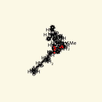 CSCC[C@H](NC(=O)[C@H](C)NC(=O)[C@H](Cc1c[nH]c2ccccc12)NC(=O)[C@@H]1CCCN1C(=O)[C@H](Cc1c[nH]cn1)NC(=O)[C@H](Cc1c[nH]c2ccccc12)NC(=O)[C@@H](N)Cc1ccccc1)C(=O)N[C@@H](C)C(=O)N[C@@H](Cc1ccc(O)cc1)C(=O)N[C@@H](CCCCN)C(=O)NCC(=O)NCC(=O)NCC(=O)N[C@@H](CCCCNC(=O)CCCC[C@@H]1SC[C@@H]2NC(=O)N[C@@H]21)C(N)=O